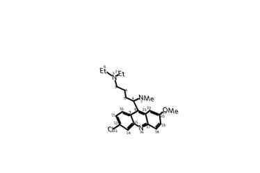 CCN(CC)CCCC(NC)c1c2ccc(Cl)cc2nc2ccc(OC)cc12